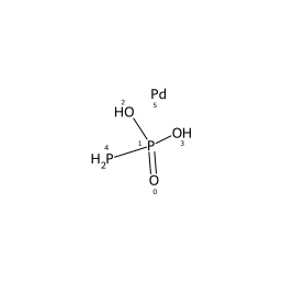 O=P(O)(O)P.[Pd]